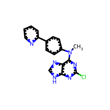 CN(c1ccc(-c2ccccn2)cc1)c1nc(Cl)nc2[nH]cnc12